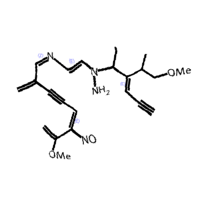 C#C/C=C(\C(C)COC)C(C)N(N)/C=C/N=C\C(=C)C#C/C=C(/N=O)C(=C)OC